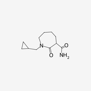 NC(=O)C1CCCCN(CC2CC2)C1=O